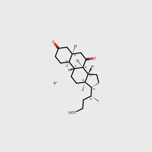 C[C@H](CCC(=O)[O-])[C@H]1CC[C@H]2[C@@H]3C(=O)C[C@@H]4CC(=O)CC[C@]4(C)[C@H]3CC[C@]12C.[K+]